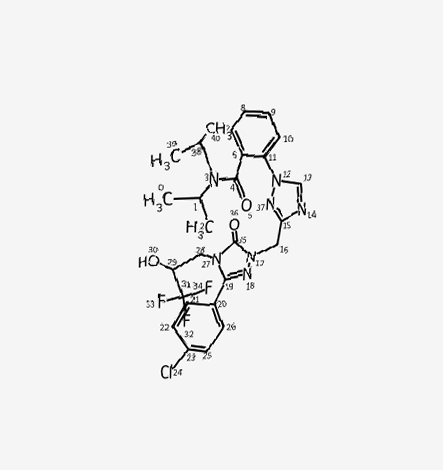 CC(C)N(C(=O)c1ccccc1-n1cnc(Cn2nc(-c3ccc(Cl)cc3)n(CC(O)C(F)(F)F)c2=O)n1)C(C)C